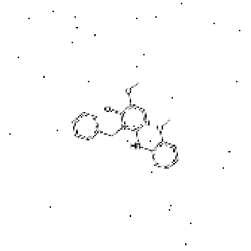 COc1ccccc1Nc1ncc(OC)c(=O)n1Cc1ccccc1